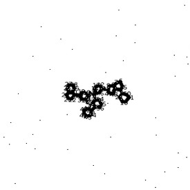 c1ccc(-c2cccc3cc(-c4cccc(N(c5ccc(-c6cccc7ccccc67)cc5)c5cccc6c5sc5ccccc56)c4)ccc23)cc1